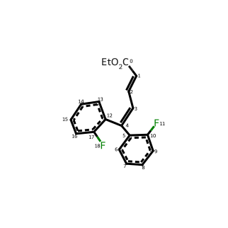 CCOC(=O)C=CC=C(c1ccccc1F)c1ccccc1F